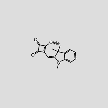 COc1c(/C=C2/N(C)c3ccccc3C2(C)C)c(=O)c1=O